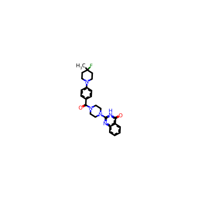 CC1(F)CCN(c2ccc(C(=O)N3CCN(c4nc5ccccc5c(=O)[nH]4)CC3)cc2)CC1